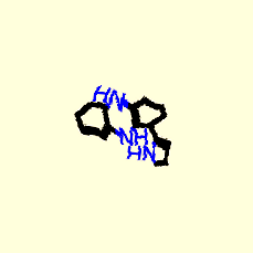 C1=CC2Nc3cccc(-c4ccc[nH]4)c3NC2C=C1